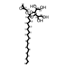 CCCCCCCCCCCCCCCCCC(OCC(O)CO)(OCC(O)CO)OCC1CO1